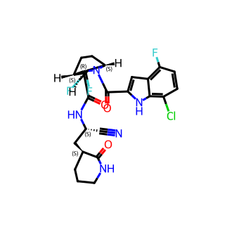 N#C[C@H](C[C@@H]1CCCNC1=O)NC(=O)[C@H]1[C@@H]2CC[C@@H](CC2(F)F)N1C(=O)c1cc2c(F)ccc(Cl)c2[nH]1